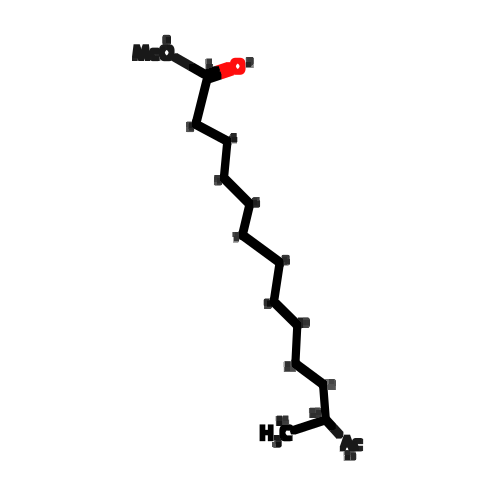 COC(=O)CCCCCCCCCCC(C)C(C)=O